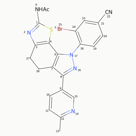 CC(=O)Nc1nc2c(s1)-c1c(c(-c3ccc(C)nc3)nn1-c1ccc(C#N)cc1Br)CC2